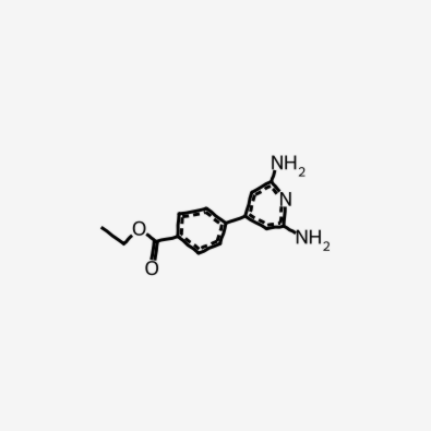 CCOC(=O)c1ccc(-c2cc(N)nc(N)c2)cc1